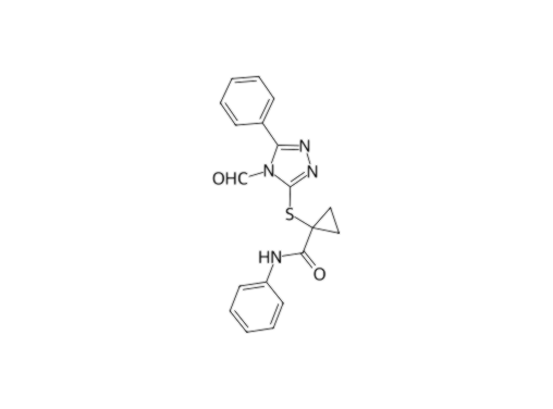 O=Cn1c(SC2(C(=O)Nc3ccccc3)CC2)nnc1-c1ccccc1